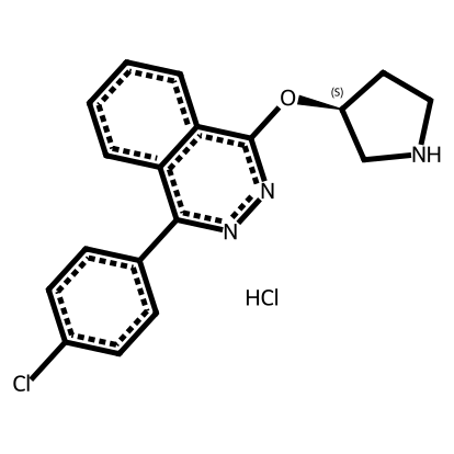 Cl.Clc1ccc(-c2nnc(O[C@H]3CCNC3)c3ccccc23)cc1